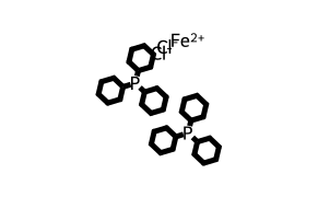 C1CCC(P(C2CCCCC2)C2CCCCC2)CC1.C1CCC(P(C2CCCCC2)C2CCCCC2)CC1.[Cl-].[Cl-].[Fe+2]